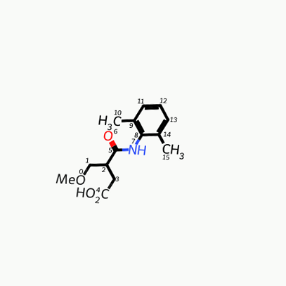 COCC(CC(=O)O)C(=O)Nc1c(C)cccc1C